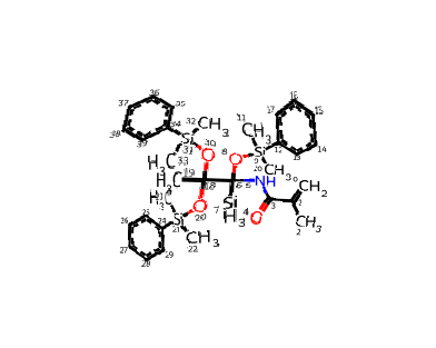 C=C(C)C(=O)NC([SiH3])(O[Si](C)(C)c1ccccc1)C(C)(O[Si](C)(C)c1ccccc1)O[Si](C)(C)c1ccccc1